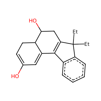 CCC1(CC)C2=C(C3=CC(O)=CCC3C(O)C2)c2ccccc21